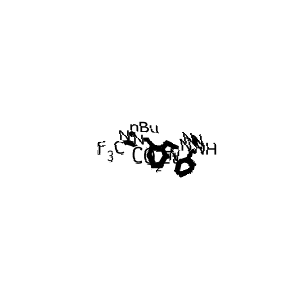 CCCCc1nc(C(F)(F)F)c(C(=O)OCC)n1Cc1cccc2c1ccn2-c1ccccc1-c1nnn[nH]1